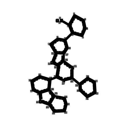 O=[N+]([O-])c1ccccc1-c1ccc2oc3c(-c4cccc5oc6ccccc6c45)nc(-c4ccccc4)nc3c2c1